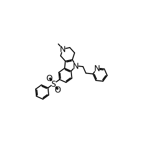 CN1CCc2c(c3cc(S(=O)(=O)c4ccccc4)ccc3n2CCc2ccccn2)C1